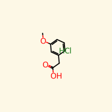 COc1cccc(CC(=O)O)c1.Cl